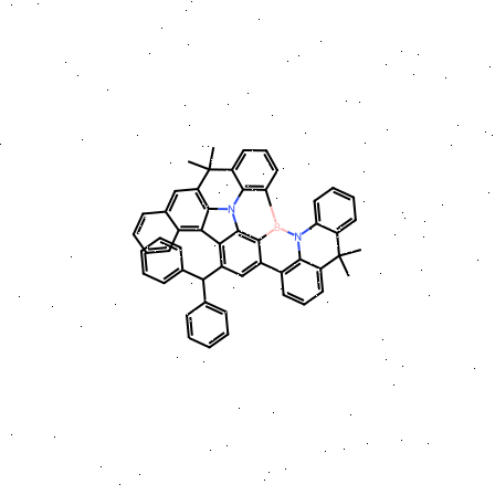 CC1(C)c2ccccc2N2B3c4cccc5c4-n4c6c3c(cc(C(c3ccccc3)c3ccccc3)c6c3c6ccccc6cc(c34)C5(C)C)-c3cccc1c32